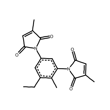 CCc1cc(N2C(=O)C=C(C)C2=O)cc(N2C(=O)C=C(C)C2=O)c1C